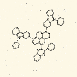 c1ccc(-c2nc3ccccc3nc2-c2cc3ccc(-c4ccc5c6ccccc6n(-c6ccccc6)c5c4)c4ccc5c(-c6ccc7c8ccccc8n(-c8ccccc8)c7c6)ccc2c5c34)cc1